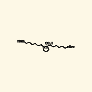 CCCCCCCCCCCCCCCCN1CCC[C@@]1(CCCCCCCCCCCCCCCC)C(=O)O